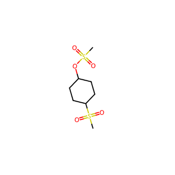 CS(=O)(=O)OC1CCC(S(C)(=O)=O)CC1